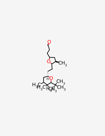 C=C1CC(CCC=O)OC1CC[C@H]1CC(C)C(C)(C)C(C(C)(C)C)O1